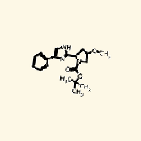 COC1CC(c2nc(-c3ccccc3)c[nH]2)N(C(=O)OC(C)(C)C)C1